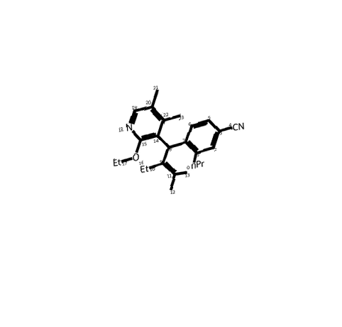 CCCc1cc(C#N)ccc1C(C(CC)=C(C)C)c1c(OCC)ncc(C)c1C